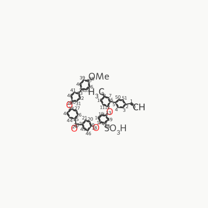 C#Cc1ccc(-c2cc(C)ccc2Oc2ccc(Oc3ccc(C(=O)c4ccc(Oc5ccc(-c6ccc(OC)cc6)cc5)cc4)cc3)c(S(=O)(=O)O)c2)cc1